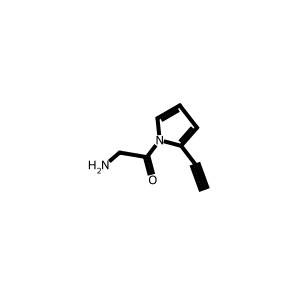 C#Cc1cccn1C(=O)CN